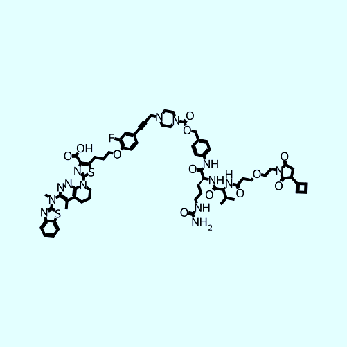 Cc1c(N(C)c2nc3ccccc3s2)nnc2c1CCCN2c1nc(C(=O)O)c(CCCOc2ccc(C#CCN3CCN(C(=O)OCc4ccc(NC(=O)[C@H](CCCNC(N)=O)NC(=O)[C@@H](NC(=O)CCOCCN5C(=O)CC(C6=CCC6)C5=O)C(C)C)cc4)CC3)cc2F)s1